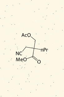 CCCC(CC#N)(COC(C)=O)C(=O)OC